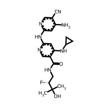 CC(C)(O)[C@H](F)CNC(=O)c1cnc(Nc2cc(N)c(C#N)cn2)cc1NC1CC1